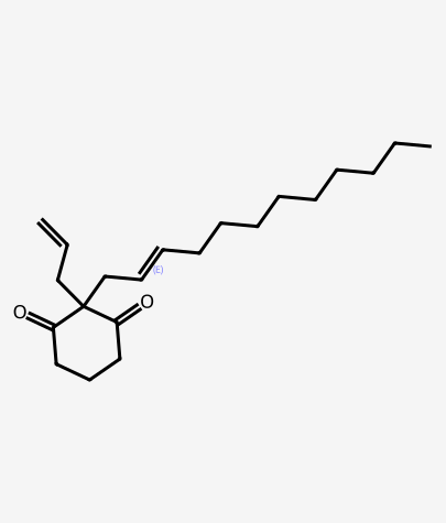 C=CCC1(C/C=C/CCCCCCCCC)C(=O)CCCC1=O